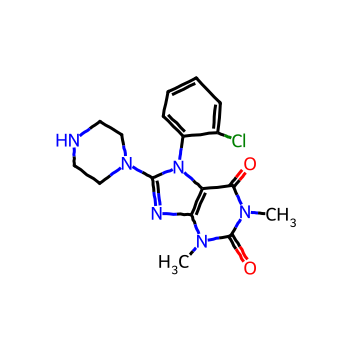 Cn1c(=O)c2c(nc(N3CCNCC3)n2-c2ccccc2Cl)n(C)c1=O